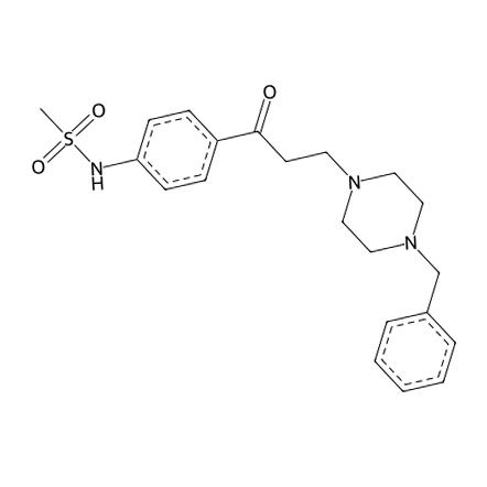 CS(=O)(=O)Nc1ccc(C(=O)CCN2CCN(Cc3ccccc3)CC2)cc1